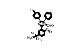 CCOc1ccc(C(C)(C)C#N)cc1C1=N[C@@H](c2ccc(Cl)cc2)[C@@H](c2ccc(Cl)cc2)N1[C]=O